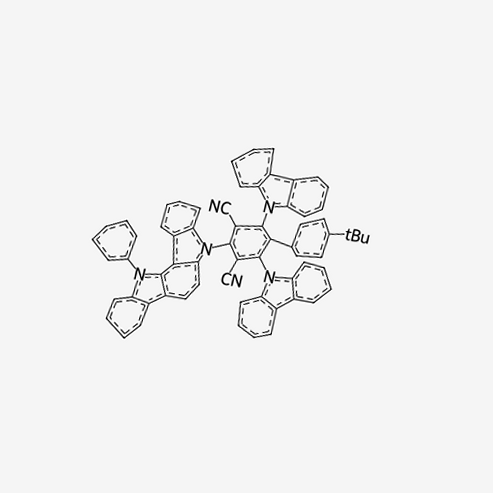 CC(C)(C)c1ccc(-c2c(-n3c4ccccc4c4ccccc43)c(C#N)c(-n3c4ccccc4c4c3ccc3c5ccccc5n(-c5ccccc5)c34)c(C#N)c2-n2c3ccccc3c3ccccc32)cc1